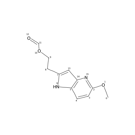 COc1ccc2[nH]c(CCOC=O)cc2n1